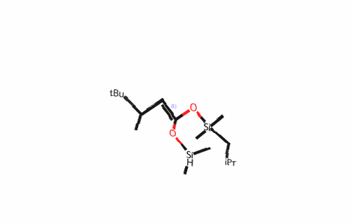 CC(C)C[Si](C)(C)O/C(=C/C(C)C(C)(C)C)O[SiH](C)C